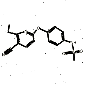 CCc1nc(Oc2ccc(NS(C)(=O)=O)cc2)ccc1C#N